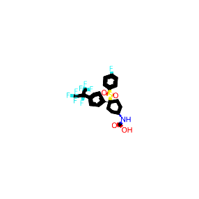 O=C(O)N[C@H]1CC[C@@](c2ccc(C(F)(C(F)(F)F)C(F)(F)F)cc2)(S(=O)(=O)c2ccc(F)cc2)CC1